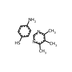 Cc1ncnc(C)c1C.Nc1ccc(S)cc1